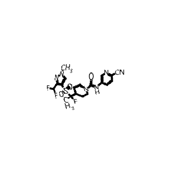 Cn1cc(S(=O)(=O)[C@@](C)(F)C2CCN(C(=O)Nc3ccc(C#N)nc3)CC2)c(C(F)F)n1